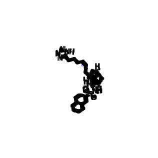 CC1(C)[C@H]2C[C@H](C/C=C\CCCc3nnn[nH]3)[C@@H](NS(=O)(=O)c3ccc4ccccc4c3)[C@H]1C2